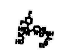 CCOC[C@H](C)Nc1nc2ccc(-c3nc(C4(CO)CC4)[nH]c3-c3ccc(F)cc3F)nc2o1